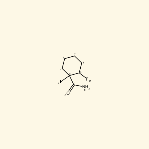 NC(=O)C1(F)CCCCC1F